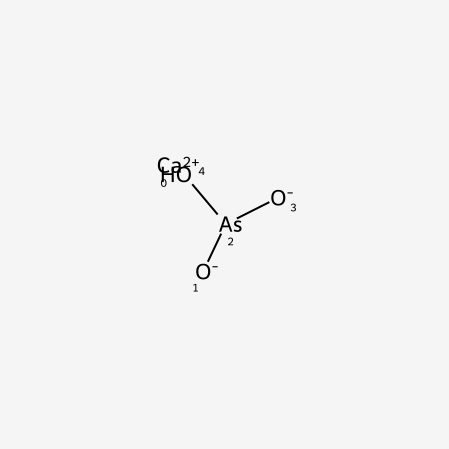 [Ca+2].[O-][As]([O-])O